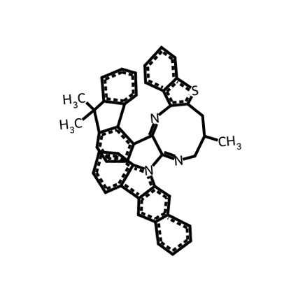 CC1C/N=C(n2c3ccccc3c3cc4ccccc4cc32)\C(c2cccc3c2-c2ccccc2C3(C)C)=N/c2c(sc3ccccc23)C1